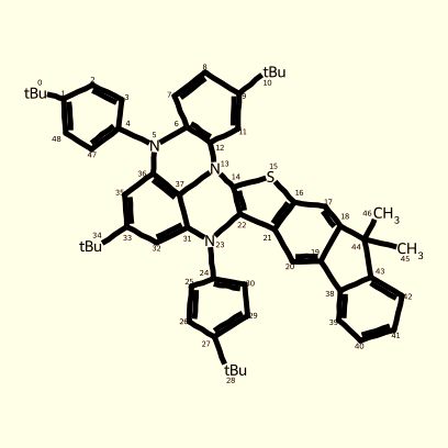 CC(C)(C)c1ccc(N2c3ccc(C(C)(C)C)cc3N3c4sc5cc6c(cc5c4N(c4ccc(C(C)(C)C)cc4)c4cc(C(C)(C)C)cc2c43)-c2ccccc2C6(C)C)cc1